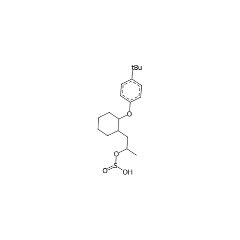 CC(CC1CCCCC1Oc1ccc(C(C)(C)C)cc1)OS(=O)O